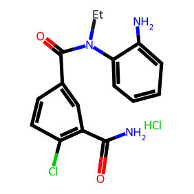 CCN(C(=O)c1ccc(Cl)c(C(N)=O)c1)c1ccccc1N.Cl